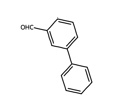 O=Cc1[c]ccc(-c2ccccc2)c1